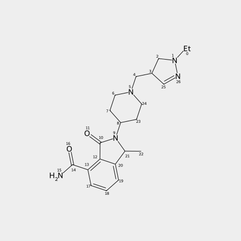 CCN1CC(CN2CCC(N3C(=O)c4c(C(N)=O)cccc4C3C)CC2)C=N1